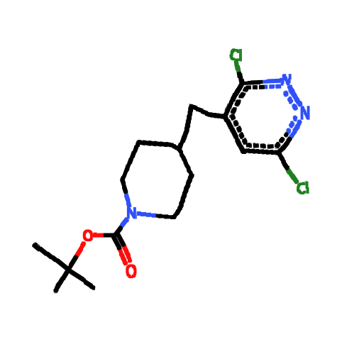 CC(C)(C)OC(=O)N1CCC(Cc2cc(Cl)nnc2Cl)CC1